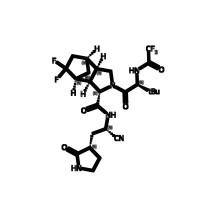 CC(C)(C)[C@H](NC(=O)C(F)(F)F)C(=O)N1C[C@@H]2[C@H]3C[C@@H]([C@@H]2[C@H]1C(=O)N[C@H](C#N)C[C@@H]1CCNC1=O)C(F)(F)C3